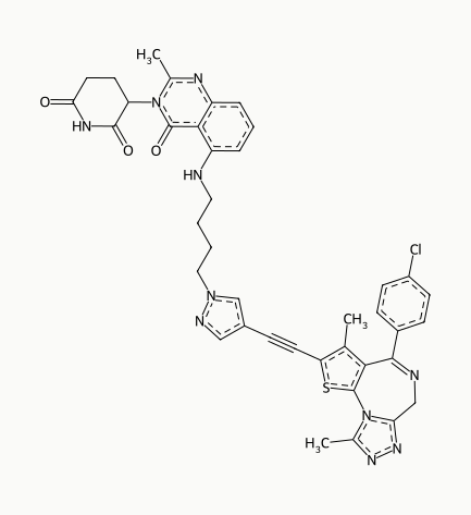 Cc1c(C#Cc2cnn(CCCCNc3cccc4nc(C)n(C5CCC(=O)NC5=O)c(=O)c34)c2)sc2c1C(c1ccc(Cl)cc1)=NCc1nnc(C)n1-2